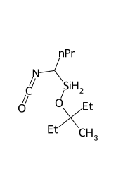 CCCC(N=C=O)[SiH2]OC(C)(CC)CC